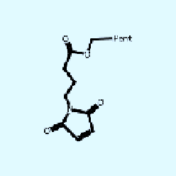 CCCC(C)COC(=O)CCCN1C(=O)C=CC1=O